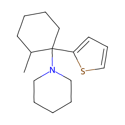 CC1CCCCC1(c1cccs1)N1CCCCC1